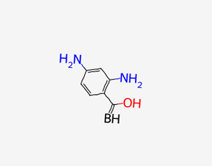 B=C(O)c1ccc(N)cc1N